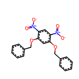 O=[N+]([O-])c1cc([N+](=O)[O-])c(OCc2ccccc2)cc1OCc1ccccc1